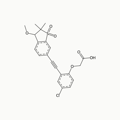 COC1c2ccc(C#Cc3cc(Cl)ccc3OCC(=O)O)cc2S(=O)(=O)C1(C)C